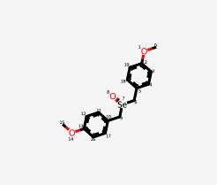 COc1ccc(C[Se](=O)Cc2ccc(OC)cc2)cc1